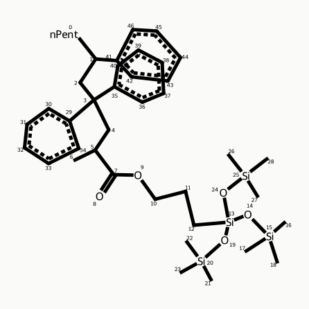 CCCCCC(CC(CC(C)C(=O)OCCC[Si](O[Si](C)(C)C)(O[Si](C)(C)C)O[Si](C)(C)C)(c1ccccc1)c1ccccc1)c1ccccc1